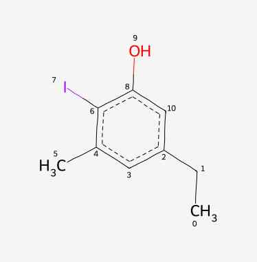 CCc1cc(C)c(I)c(O)c1